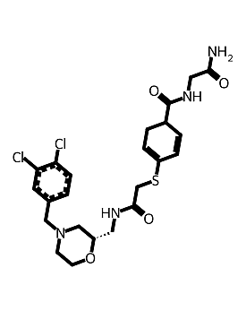 NC(=O)CNC(=O)C1C=CC(SCC(=O)NC[C@H]2CN(Cc3ccc(Cl)c(Cl)c3)CCO2)=CC1